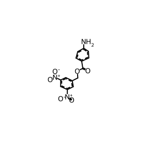 Nc1ccc(C(=O)OCc2cc([N+](=O)[O-])cc([N+](=O)[O-])c2)cc1